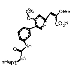 CCCCCCCNC(=O)Nc1cccc(-c2ccc(C=C(OC)C(=O)O)cc2OCCCC)c1